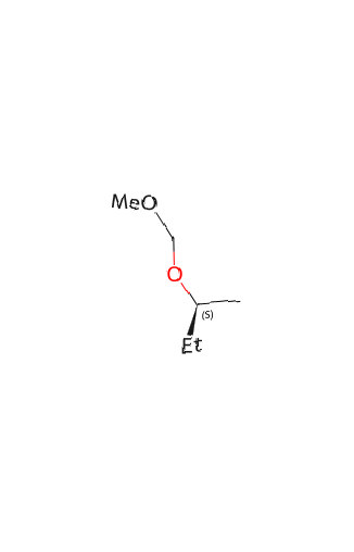 CC[C@H](C)OCOC